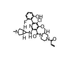 C=CC(=O)N1CCN2C(=O)c3c(NC4[C@H]5CN(C)C[C@@H]45)nc(-c4c(O)cccc4F)c(Cl)c3OC[C@H]2C1